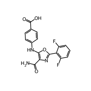 NC(=O)c1nc(-c2c(F)cccc2F)oc1Nc1ccc(C(=O)O)cc1